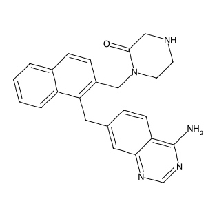 Nc1ncnc2cc(Cc3c(CN4CCNCC4=O)ccc4ccccc34)ccc12